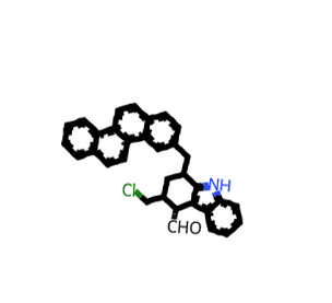 O=CC1c2c([nH]c3ccccc23)C(Cc2ccc3ccc4c5ccccc5ccc4c3c2)CC1CCl